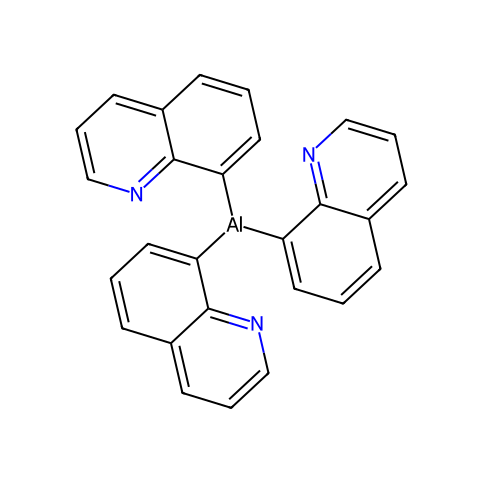 c1cnc2[c]([Al]([c]3cccc4cccnc34)[c]3cccc4cccnc34)cccc2c1